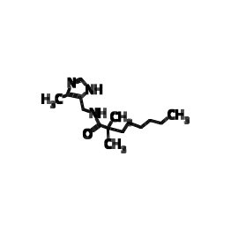 CCCCCCC(C)(C)C(=O)NCc1[nH]cnc1C